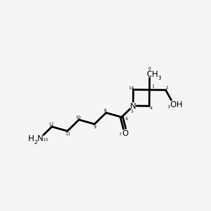 CC1(CO)CN(C(=O)CCCCCN)C1